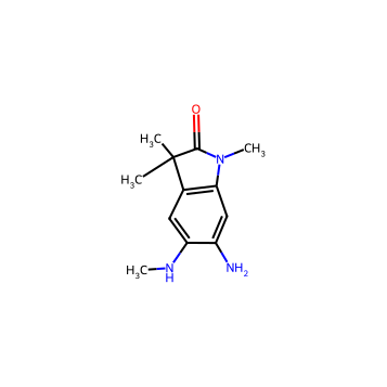 CNc1cc2c(cc1N)N(C)C(=O)C2(C)C